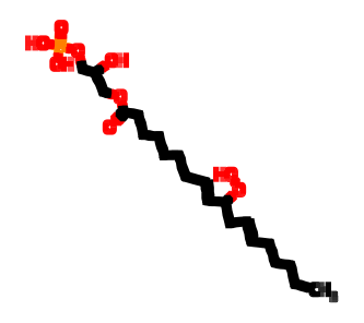 CCCCCC=CCC(C=CCCCCCCC(=O)OCC(O)COP(=O)(O)O)OO